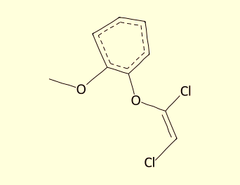 COc1ccccc1O/C(Cl)=C\Cl